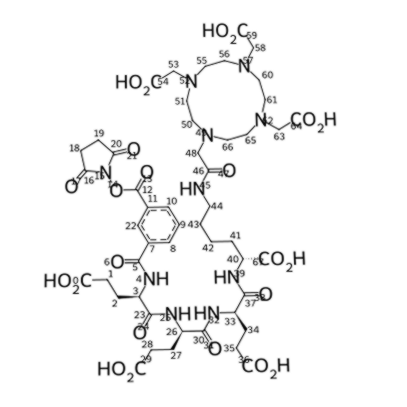 O=C(O)CC[C@@H](NC(=O)c1cccc(C(=O)ON2C(=O)CCC2=O)c1)C(=O)N[C@H](CCC(=O)O)C(=O)N[C@H](CCC(=O)O)C(=O)N[C@H](CCCCNC(=O)CN1CCN(CC(=O)O)CCN(CC(=O)O)CCN(CC(=O)O)CC1)C(=O)O